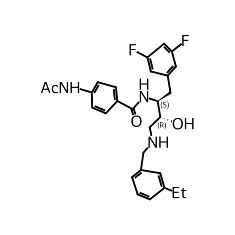 CCc1cccc(CNC[C@@H](O)[C@H](Cc2cc(F)cc(F)c2)NC(=O)c2ccc(NC(C)=O)cc2)c1